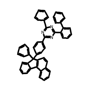 c1ccc(-c2nc(-c3ccc(C4(c5ccccc5)c5ccccc5-c5c4ccc4ccccc54)cc3)nc(-c3ccccc3-c3ccccc3)n2)cc1